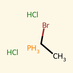 CCBr.Cl.Cl.P